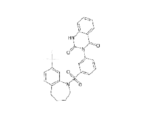 CC(C)(C)c1ccc2c(c1)N(S(=O)(=O)c1cccc(-n3c(=O)[nH]c4ccccc4c3=O)c1)CCCC2